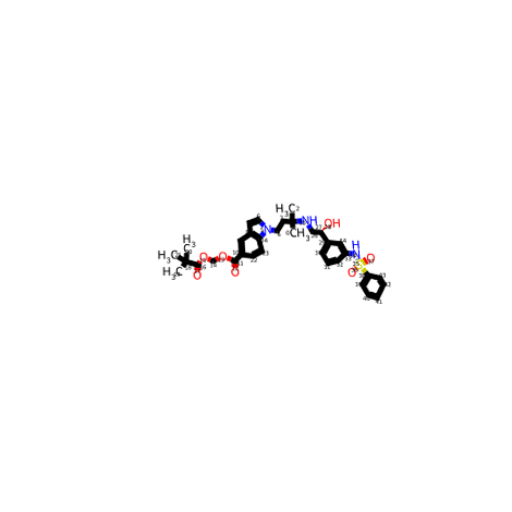 CC(C)(CCn1ccc2cc(C(=O)OCOC(=O)C(C)(C)C)ccc21)NC[C@H](O)c1cccc(NS(=O)(=O)c2ccccc2)c1